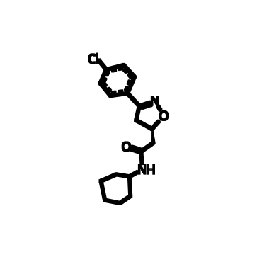 O=C(C[C@H]1CC(c2ccc(Cl)cc2)=NO1)NC1CCCCC1